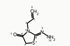 C=CCN1C(=O)CSC1=NN